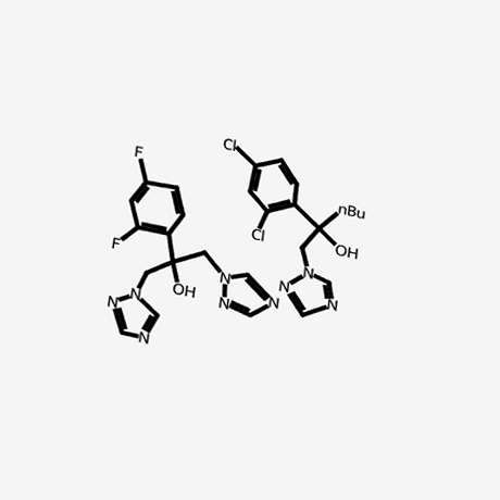 CCCCC(O)(Cn1cncn1)c1ccc(Cl)cc1Cl.OC(Cn1cncn1)(Cn1cncn1)c1ccc(F)cc1F